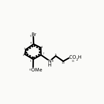 COc1ccc(Br)cc1NCCC(=O)O